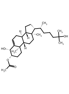 CC(=O)O[C@H]1CC[C@@]2(C)C(=CC[C@H]3[C@@H]4CC[C@H]([C@H](C)CCCC(C)(C)O)[C@@]4(C)CC[C@@H]32)[C@H]1O